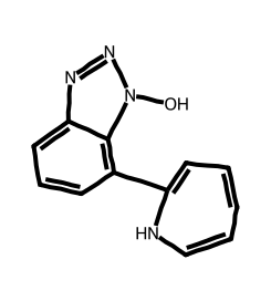 On1nnc2cccc(C3=CC=CC=CN3)c21